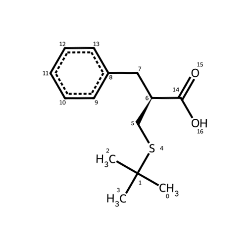 CC(C)(C)SC[C@@H](Cc1ccccc1)C(=O)O